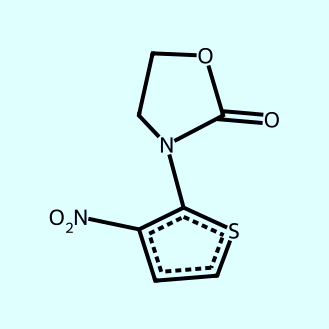 O=C1OCCN1c1sccc1[N+](=O)[O-]